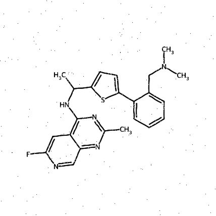 Cc1nc(NC(C)c2ccc(-c3ccccc3CN(C)C)s2)c2cc(F)ncc2n1